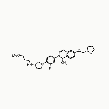 C=C1c2ccc(OC[C@H]3CCCO3)cc2C=CN1c1ccc(N2CCC(NCCCOC)C2)c(F)c1